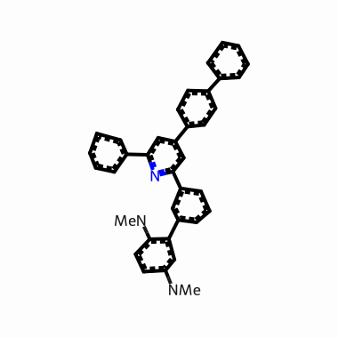 CNc1ccc(NC)c(-c2cccc(-c3cc(-c4ccc(-c5ccccc5)cc4)cc(-c4ccccc4)n3)c2)c1